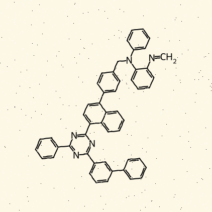 C=Nc1ccccc1N(Cc1ccc(-c2ccc(-c3nc(-c4ccccc4)nc(-c4cccc(-c5ccccc5)c4)n3)c3ccccc23)cc1)c1ccccc1